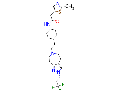 Cc1ncc(CC(=O)N[C@H]2CC[C@H](CCN3CCc4cn(CCC(F)(F)F)nc4CC3)CC2)s1